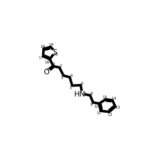 O=C(CCCCCNCCc1ccccc1)c1cccs1